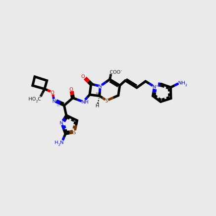 Nc1ccc[n+](CC=CC2=C(C(=O)[O-])N3C(=O)C(NC(=O)/C(=N\OC4(C(=O)O)CCC4)c4csc(N)n4)[C@@H]3SC2)c1